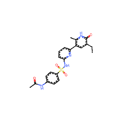 CCc1cc(-c2cccc(NS(=O)(=O)c3ccc(NC(C)=O)cc3)n2)c(C)[nH]c1=O